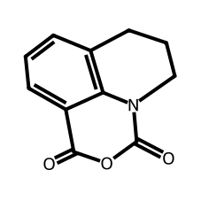 O=c1oc(=O)n2c3c(cccc13)CCC2